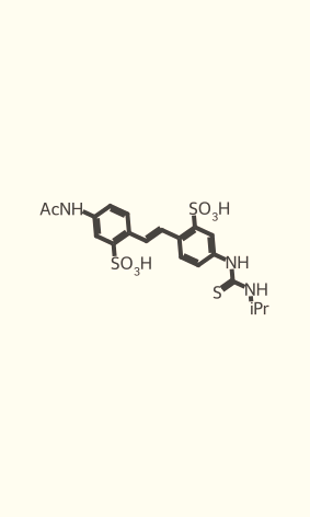 CC(=O)Nc1ccc(/C=C/c2ccc(NC(=S)NC(C)C)cc2S(=O)(=O)O)c(S(=O)(=O)O)c1